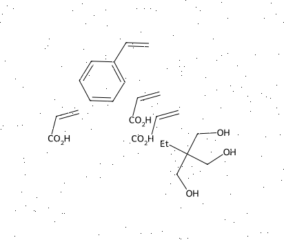 C=CC(=O)O.C=CC(=O)O.C=CC(=O)O.C=Cc1ccccc1.CCC(CO)(CO)CO